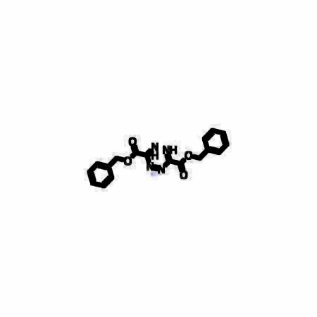 N=C(/N=N\C(=N)C(=O)OCc1ccccc1)C(=O)OCc1ccccc1